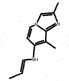 CC=CNc1ccn2cc(C)nc2c1C